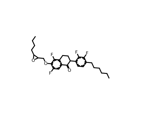 CCCCCCc1ccc(C2CCc3c(cc(F)c(OCC4OC4CCCC)c3F)C2=O)c(F)c1F